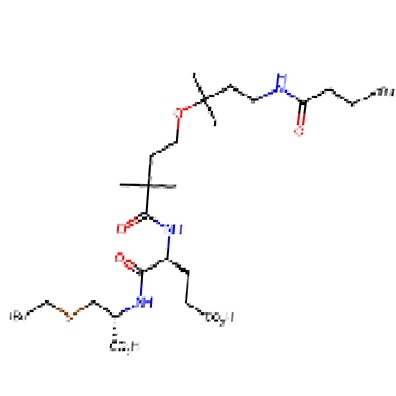 CC(C)(C)CCC(=O)NCCC(C)(C)OCCC(C)(C)C(=O)N[C@@H](CCC(=O)O)C(=O)N[C@@H](CSCC(C)(C)C)C(=O)O